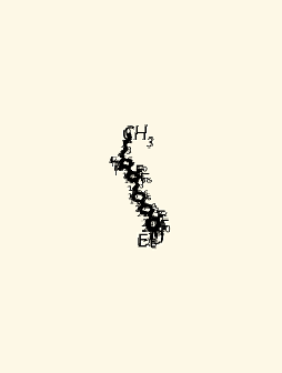 C/C=C/CCc1ccc(-c2ccc(CCC3CCC(C4CC=C(c5ccc(OCC)c(F)c5F)CC4)CC3)c(F)c2F)c(F)c1F